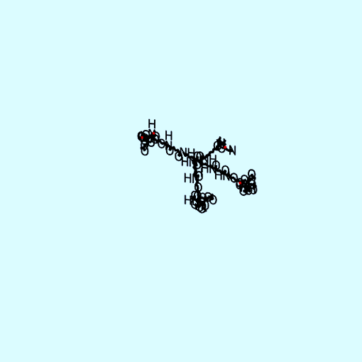 CC(=O)NC1C(OCCOCCNC(=O)CCCC(=O)NCCCCC(NC(=O)CCCC(=O)NCCOCCOC2OC(COC(C)=O)C(OC(C)=O)C(OC(C)=O)C2NC(C)=O)C(=O)NC(CCCCNC(=O)CCCC(=O)NCCOCCOC2OC3(COC(C)=O)C(OC(C)=O)C(OC(C)=O)C23NC(C)=O)C(=O)NCCCCCCOP(OCCC#N)N(C(C)C)C(C)C)OC(COC(C)=O)C(OC(C)=O)C1OC(C)=O